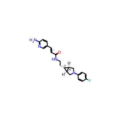 Nc1ccc(/C=C/C(=O)NCC[C@@H]2[C@H]3CN(c4ccc(F)cc4)C[C@@H]23)cn1